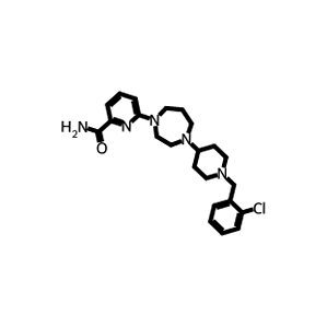 NC(=O)c1cccc(N2CCCN(C3CCN(Cc4ccccc4Cl)CC3)CC2)n1